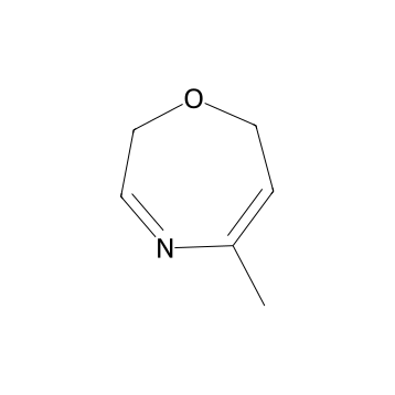 CC1=CCOCC=N1